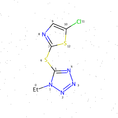 CCn1nnnc1Sc1ncc(Cl)s1